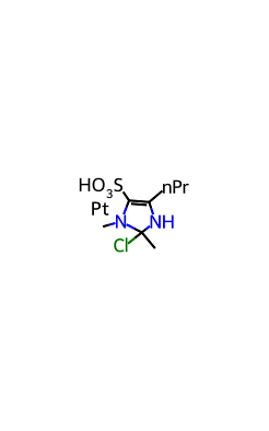 CCCC1=C(S(=O)(=O)O)N(C)C(C)(Cl)N1.[Pt]